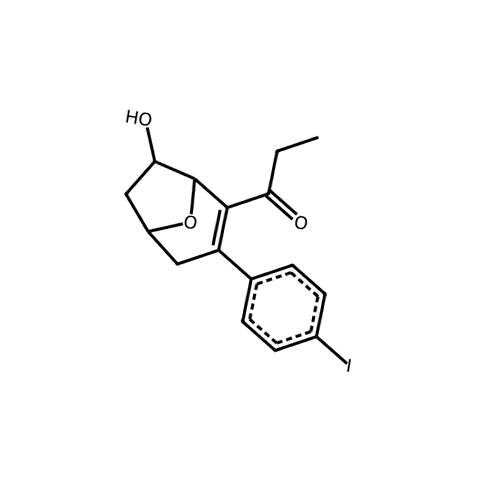 CCC(=O)C1=C(c2ccc(I)cc2)CC2CC(O)C1O2